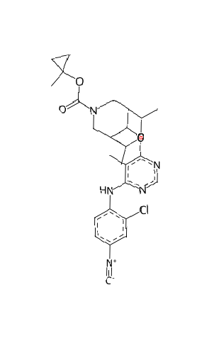 [C-]#[N+]c1ccc(Nc2ncnc(OC3C4CN(C(=O)OC5(C)CC5)CC3C(C)OC4C)c2C)c(Cl)c1